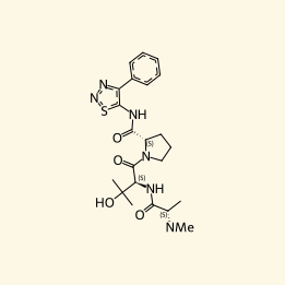 CN[C@@H](C)C(=O)N[C@H](C(=O)N1CCC[C@H]1C(=O)Nc1snnc1-c1ccccc1)C(C)(C)O